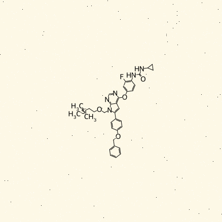 C[Si](C)(C)CCOCn1c(-c2ccc(OCc3ccccc3)cc2)cc2c(Oc3ccc(NC(=O)NC4CC4)c(F)c3)ncnc21